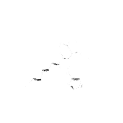 C/C=C/C=C/C=C(\C)[C@H]1OC[C@@H](C)[C@@H](OC)[C@@H]1OCc1c[nH]cn1